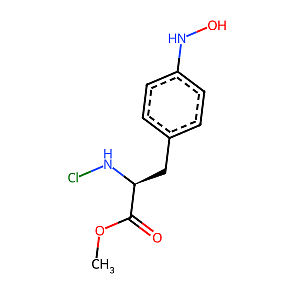 COC(=O)[C@H](Cc1ccc(NO)cc1)NCl